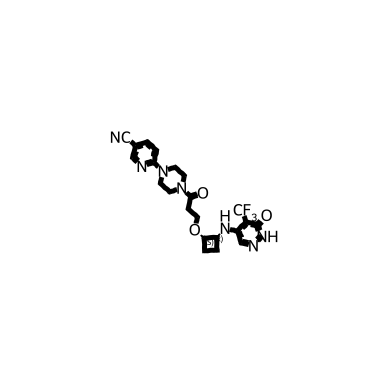 N#Cc1ccc(N2CCN(C(=O)CCO[C@H]3CC[C@H]3Nc3cn[nH]c(=O)c3C(F)(F)F)CC2)nc1